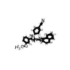 COc1cccc(-c2nn(-c3ccc(C#N)cc3)[n+](-c3nc4c(ccc5ccccc54)s3)n2)c1